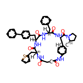 O=C1CCC(=O)N[C@H](Cc2cccs2)C(=O)N[C@@H](Cc2ccc(-c3ccccc3)cc2)C(=O)N[C@H](Cc2ccccc2)C(=O)NC(C(=O)N2CCC[C@H]2C(=O)O)c2ccc(cc2)N1